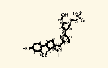 CCc1cc(O)ccc1-c1ccc2c(-c3nc(C4=C[C@H](CO)N(CCS(C)(=O)=O)C4)c[nH]3)n[nH]c2c1F